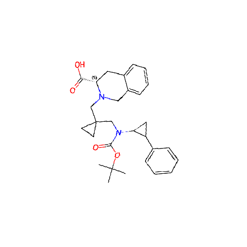 CC(C)(C)OC(=O)N(CC1(CN2Cc3ccccc3C[C@H]2C(=O)O)CC1)C1CC1c1ccccc1